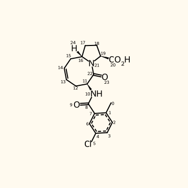 Cc1ccc(Cl)cc1C(=O)N[C@H]1CC=CC[C@@H]2CC[C@@H](C(=O)O)N2C1=O